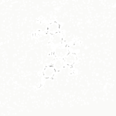 Cc1cccc(CC2N=C(c3ccc(F)cc3)c3cc(Cl)ccc3N(C)C2=O)c1C